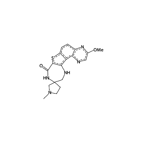 COc1cnc2c(ccc3sc4c(c32)NCC2(CCN(C)C2)NC4=O)n1